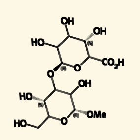 CO[C@@H]1OC(CO)[C@H](O)C(O[C@@H]2OC(C(=O)O)[C@@H](O)C(O)C2O)C1O